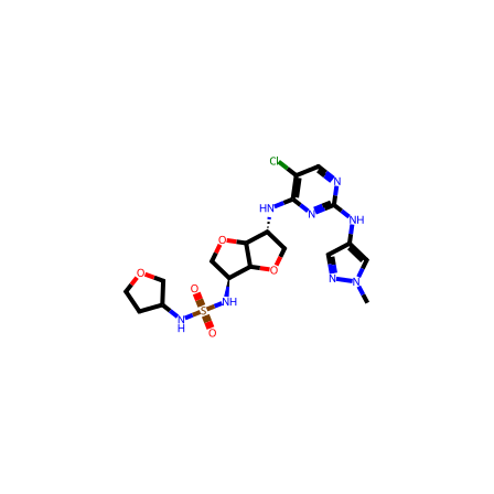 Cn1cc(Nc2ncc(Cl)c(N[C@@H]3COC4C3OC[C@@H]4NS(=O)(=O)NC3CCOC3)n2)cn1